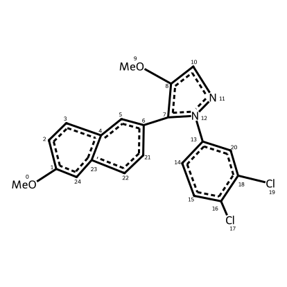 COc1ccc2cc(-c3c(OC)cnn3-c3ccc(Cl)c(Cl)c3)ccc2c1